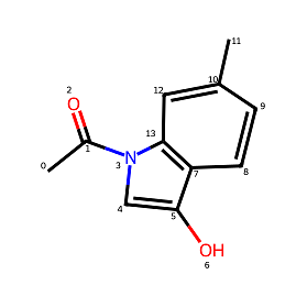 CC(=O)n1cc(O)c2ccc(C)cc21